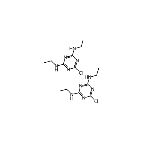 CCNc1nc(Cl)nc(NCC)n1.CCNc1nc(Cl)nc(NCC)n1